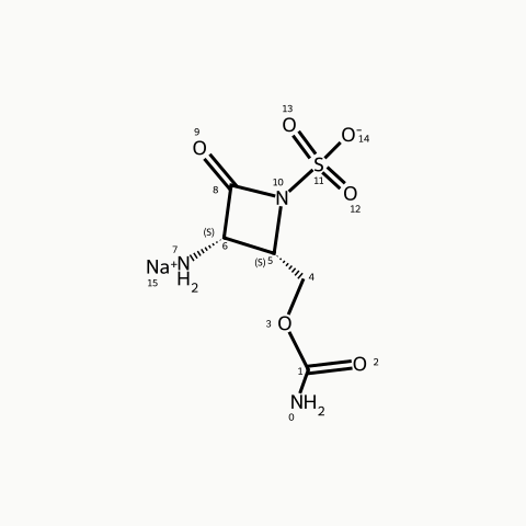 NC(=O)OC[C@@H]1[C@H](N)C(=O)N1S(=O)(=O)[O-].[Na+]